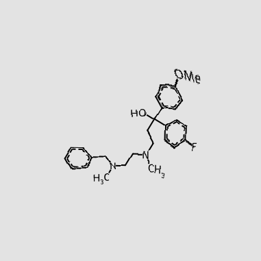 COc1ccc(C(O)(CCN(C)CCN(C)Cc2ccccc2)c2ccc(F)cc2)cc1